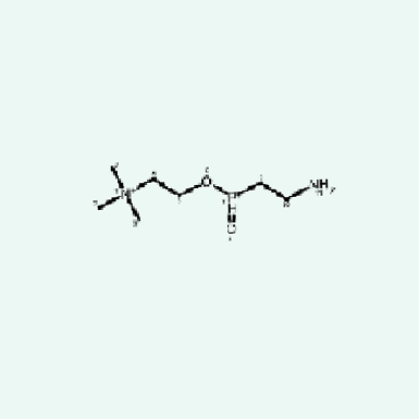 C[N+](C)(C)CCO[PH](=O)CCN